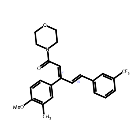 COc1ccc(C(=C\C(=O)N2CCOCC2)/C=C/c2cccc(C(F)(F)F)c2)cc1C